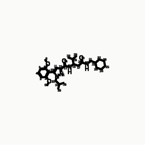 COc1cccc(OC)c1-c1cc(C(=O)NC(CC(=O)NCC2CCCCC2)C(C)C)nn1CC(C)C